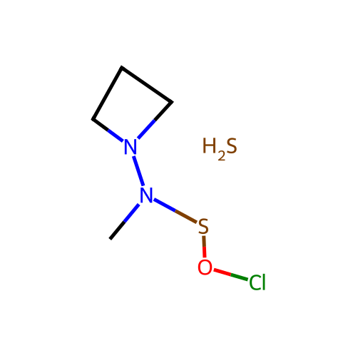 CN(SOCl)N1CCC1.S